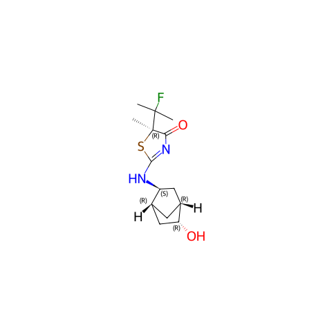 CC(C)(F)[C@]1(C)SC(N[C@H]2C[C@H]3C[C@@H]2C[C@H]3O)=NC1=O